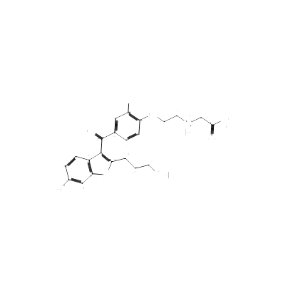 [2H]c1ccc2c(C(=O)c3ccc(OCCNCC(=O)O)c(I)c3)c(CCCC)oc2c1